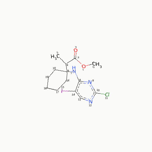 COC(=O)C(C)C1(Nc2nc(Cl)ncc2I)CCCCC1